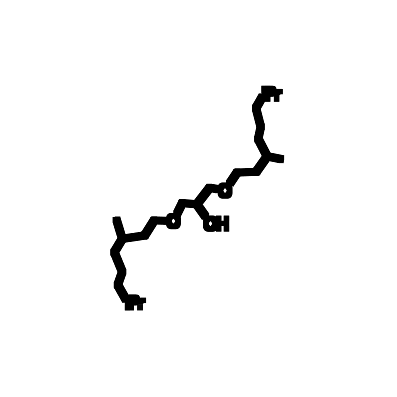 CC(C)CCCC(C)CCOCC(O)COCCC(C)CCCC(C)C